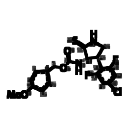 COc1ccc(COC(=O)N[C@@H]2C(=S)NC[C@H]2c2c(F)cc(Cl)cc2F)cc1